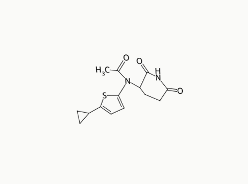 CC(=O)N(c1ccc(C2CC2)s1)C1CCC(=O)NC1=O